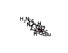 CC(=O)N1C[C@H]2Cc3nc(N)sc3[C@@H](C1)N2C(=O)OC(C)(C)C